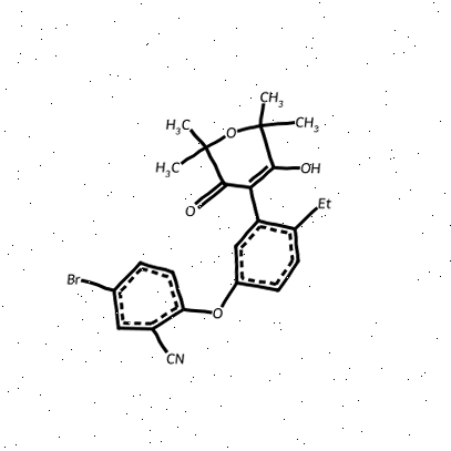 CCc1ccc(Oc2ccc(Br)cc2C#N)cc1C1=C(O)C(C)(C)OC(C)(C)C1=O